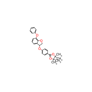 CC1(C)OB(c2ccc(OC3COc4c(Oc5ccccc5)cccc43)cc2)OC1(C)C